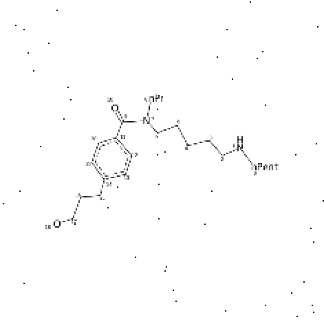 CCCCCNCCCCCN(CCC)C(=O)c1ccc(CCC[O])cc1